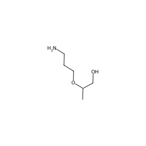 CC(CO)OCCCN